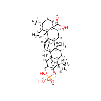 C[C@H]1[C@H](C)CC[C@]2(C(=O)O)CC[C@]3(C)C(=CC[C@@H]4[C@@]5(C)CC[C@H](OP(=O)(O)O)C(C)(C)[C@@H]5CC[C@]43C)[C@H]12